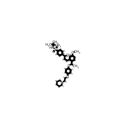 COc1ccc(C(C)Oc2ccc(OCCN3CCCCC3)cc2)c(/C=C\C(C)c2ccc(S(=O)(=O)NC(C)(C)C)cc2)c1